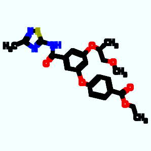 CCOC(=O)c1ccc(Oc2cc(O[C@@H](C)COC)cc(C(=O)Nc3nc(C)ns3)c2)cc1